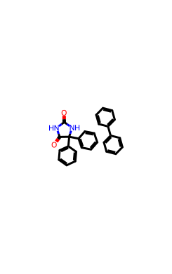 O=C1NC(=O)C(c2ccccc2)(c2ccccc2)N1.c1ccc(-c2ccccc2)cc1